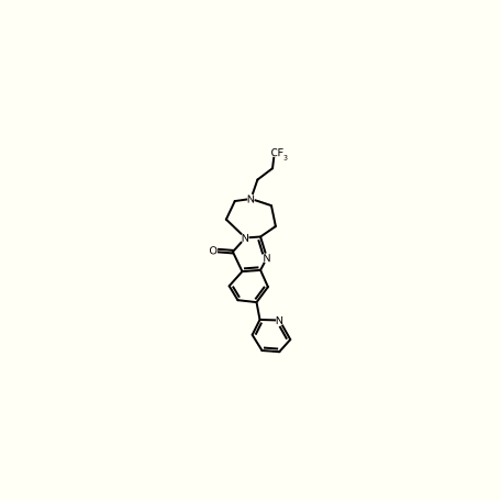 O=c1c2ccc(-c3ccccn3)cc2nc2n1CCN(CCC(F)(F)F)CC2